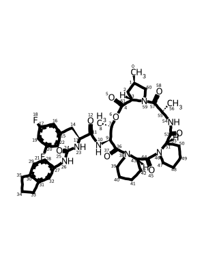 C[C@@H]1C[C@H]2C(=O)O[C@@H](C)[C@H](NC(=O)[C@H](Cc3cc(F)cc(F)c3)NC(=O)Nc3ccc4c(c3)CCC4)C(=O)N3CCCC[C@H]3C(=O)N3CCCC[C@H]3C(=O)N[C@@H](C)C(=O)N2C1